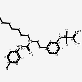 CCCCCCCN(CCc1cccc(SC(C)(C)C(=O)O)c1)C(=O)Nc1ccc(C)cc1